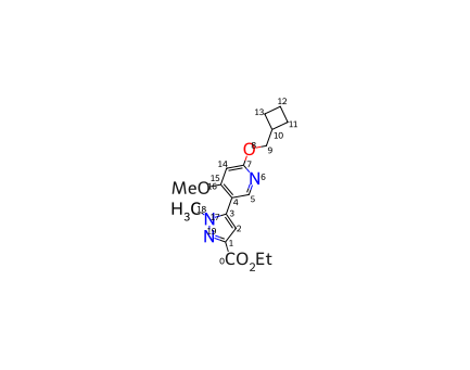 CCOC(=O)c1cc(-c2cnc(OCC3CCC3)cc2OC)n(C)n1